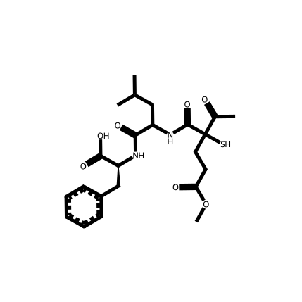 COC(=O)CCC(S)(C(C)=O)C(=O)NC(CC(C)C)C(=O)N[C@@H](Cc1ccccc1)C(=O)O